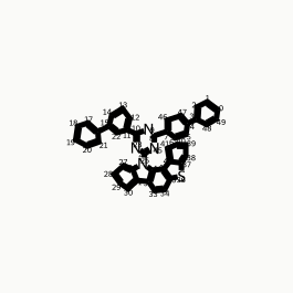 c1ccc(-c2ccc(-c3nc(-c4cccc(-c5ccccc5)c4)nc(-n4c5ccccc5c5ccc6sc7ccccc7c6c54)n3)cc2)cc1